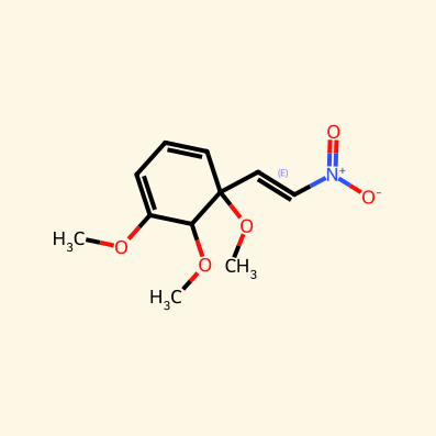 COC1=CC=CC(/C=C/[N+](=O)[O-])(OC)C1OC